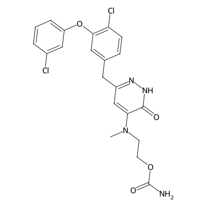 CN(CCOC(N)=O)c1cc(Cc2ccc(Cl)c(Oc3cccc(Cl)c3)c2)n[nH]c1=O